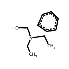 CCN(CC)CC.c1ccccc1